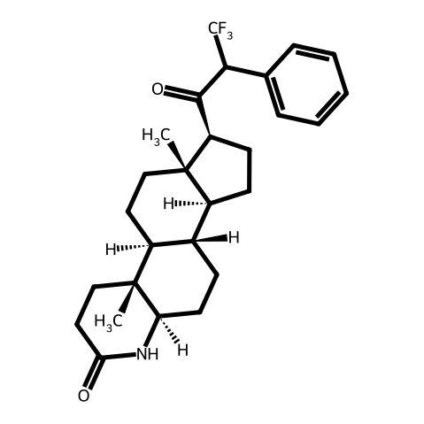 C[C@]12CCC(=O)N[C@@H]1CC[C@@H]1[C@@H]2CC[C@]2(C)[C@@H](C(=O)C(c3ccccc3)C(F)(F)F)CC[C@@H]12